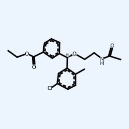 CCOC(=O)c1cccc([C@@H](OCCNC(C)=O)c2cc(Cl)ccc2C)c1